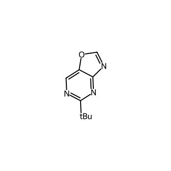 CC(C)(C)c1ncc2ocnc2n1